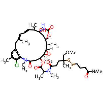 CNC(=O)CCCSSC(C)(CCC(=O)N(C)[C@@H](C)C(=O)OC1CC(=O)N(C)c2cc(cc(C)c2Cl)C/C(C)=C/C=C/[C@@H](C)[C@@]2(O)C[C@H](OC(=O)N2)[C@@H](C)[C@@H]2O[C@@]12C)COC